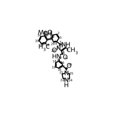 COc1ccc(-c2[nH]c(C)c(C(=O)Nc3cccc(C(=O)N4CCNCC4)c3)[n+]2[O-])cc1-c1c(C)cccc1C